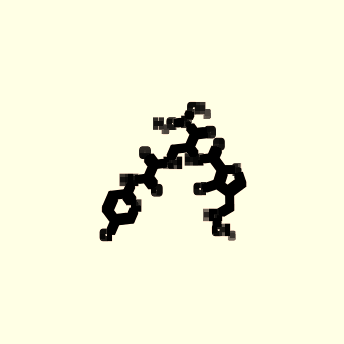 CNCc1csc(C(=O)NC(CNC(=O)C(=O)Nc2ccc(Cl)cn2)C(=O)N(C)C)c1Cl